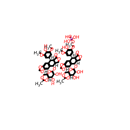 COc1cc([C@@H]2c3cc4c(cc3[C@@H](O[C@@H]3O[C@@H]5CO[C@@H](C)O[C@H]5[C@H](O)[C@H]3O)[C@H]3COC(=O)[C@H]23)OCO4)cc(OC)c1O.COc1cc([C@@H]2c3cc4c(cc3[C@@H](O[C@@H]3O[C@@H]5CO[C@@H](C)O[C@H]5[C@H](O)[C@H]3O)[C@H]3COC(=O)[C@H]23)OCO4)cc(OC)c1O.O=P(O)(O)O